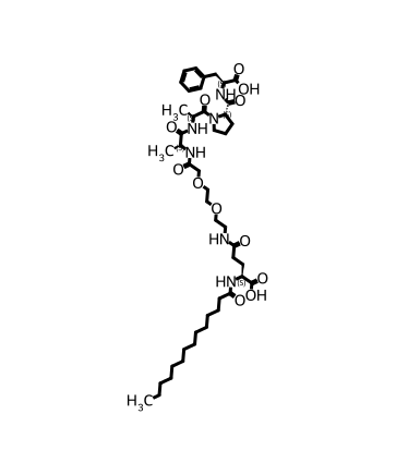 CCCCCCCCCCCCCC(=O)N[C@@H](CCC(=O)NCCOCCOCC(=O)N[C@@H](C)C(=O)N[C@@H](C)C(=O)N1CCC[C@H]1C(=O)N[C@@H](Cc1ccccc1)C(=O)O)C(=O)O